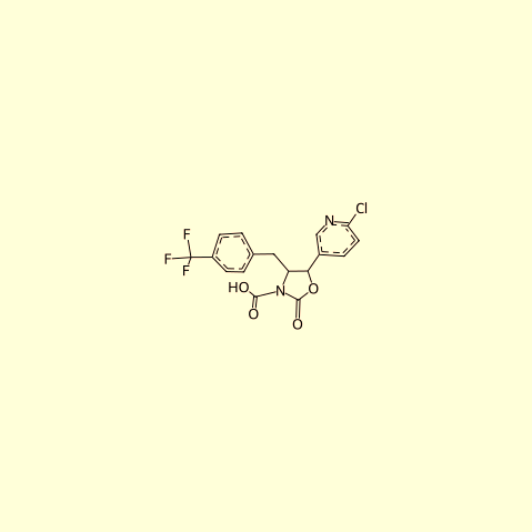 O=C(O)N1C(=O)OC(c2ccc(Cl)nc2)C1Cc1ccc(C(F)(F)F)cc1